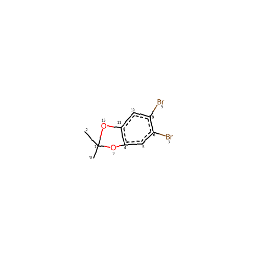 CC1(C)Oc2cc(Br)c(Br)cc2O1